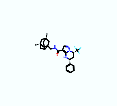 O=C(NCC12C[C@@H]3CC1C[C@H](C3)C2)c1cnn2c1N[C@H](c1ccccc1)C[C@@H]2C(F)(F)F